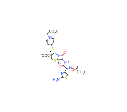 C=C(ON=C(C(=O)NC1C(=O)N2CC(CSc3cc[n+](CC(=O)O)cc3)(C(=O)[O-])CS[C@H]12)c1csc(N)n1)C(=O)O